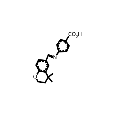 CC1(C)CCOc2ccc(C=Nc3ccc(C(=O)O)cc3)cc21